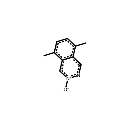 Cc1ccc(C)c2c[n+]([O-])ncc12